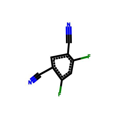 N#Cc1cc(C#N)c(F)cc1F